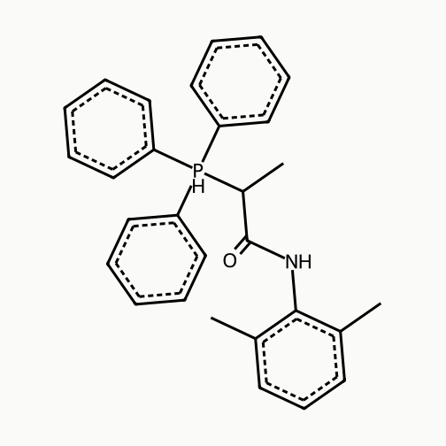 Cc1cccc(C)c1NC(=O)C(C)[PH](c1ccccc1)(c1ccccc1)c1ccccc1